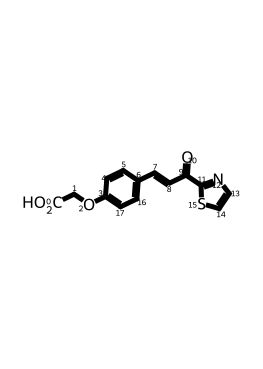 O=C(O)COc1ccc(C=CC(=O)c2nccs2)cc1